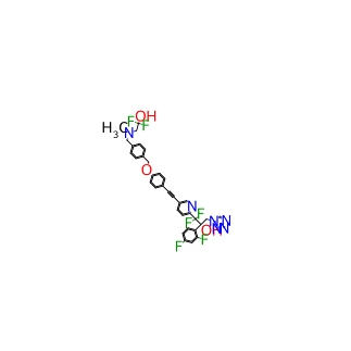 CN(Cc1ccc(COc2ccc(C#Cc3ccc(C(F)(F)C(O)(Cn4cnnn4)c4ccc(F)cc4F)nc3)cc2)cc1)CC(O)(F)F